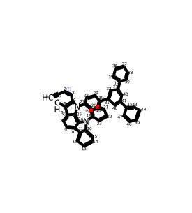 C#C/C=C\c1c(C)c2ccc3c4ccccc4n(-c4ccccc4)c3c2n1-c1ccc(-c2cc(-c3ccccc3)cc(-c3ccccc3)c2)cc1